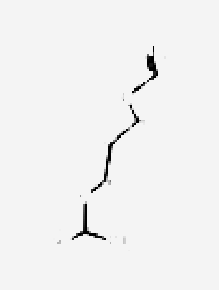 C=COCCCOC(C)C#N